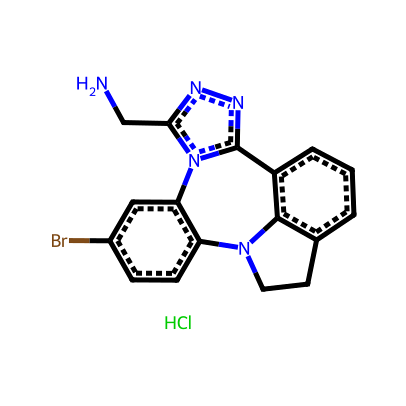 Cl.NCc1nnc2n1-c1cc(Br)ccc1N1CCc3cccc-2c31